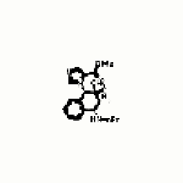 CCCN[C@H]1CC(C)(C)[C@H](n2cncc2C(=O)OC)c2ccccc21